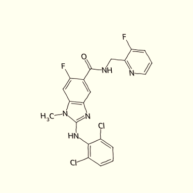 Cn1c(Nc2c(Cl)cccc2Cl)nc2cc(C(=O)NCc3ncccc3F)c(F)cc21